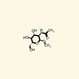 CO[C@H]1O[C@H](CO)[C@@H](O)[C@H](O)[C@H]1NC(C)=O